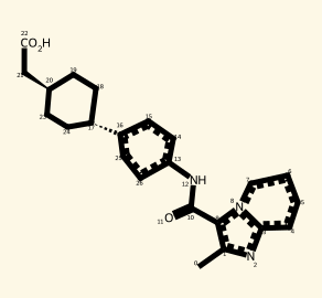 Cc1nc2ccccn2c1C(=O)Nc1ccc([C@H]2CC[C@H](CC(=O)O)CC2)cc1